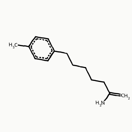 C=C(N)CCCCCc1ccc(C)cc1